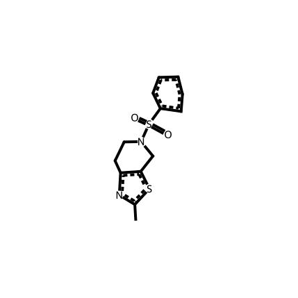 Cc1nc2c(s1)CN(S(=O)(=O)c1ccccc1)CC2